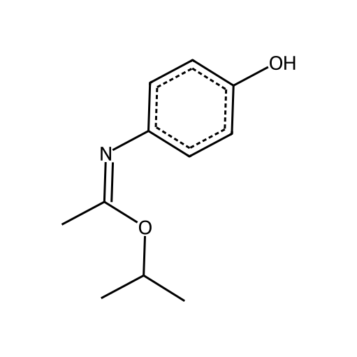 C/C(=N/c1ccc(O)cc1)OC(C)C